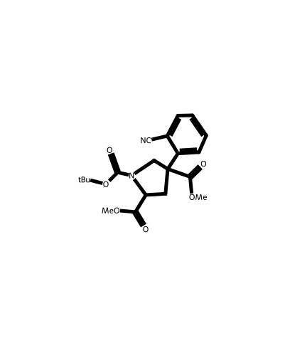 COC(=O)C1CC(C(=O)OC)(c2ccccc2C#N)CN1C(=O)OC(C)(C)C